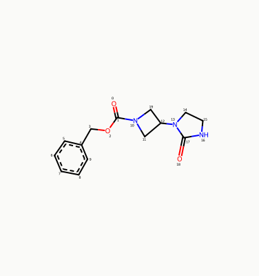 O=C(OCc1ccccc1)N1CC(N2CCNC2=O)C1